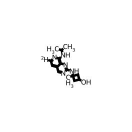 [2H]c1cc2cnc(NC3(C)CC(O)C3)nc2c(NC(C)C)n1